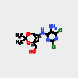 CC1(C)OC2C[C@](CO)(C[C@@H]2Nc2nc(Cl)nc(Cl)c2N)O1